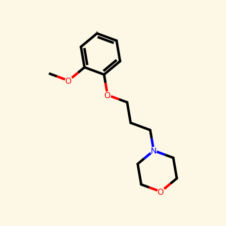 COc1c[c]ccc1OCCCN1CCOCC1